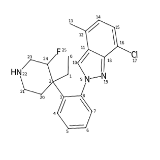 CCC1(c2ccccc2-n2cc3c(C)ccc(Cl)c3n2)CCNCC1F